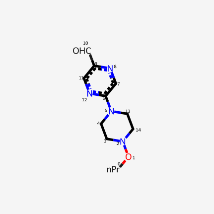 CCCON1CCN(c2cnc(C=O)cn2)CC1